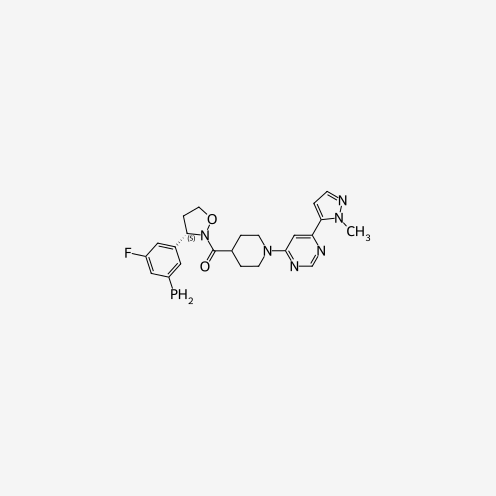 Cn1nccc1-c1cc(N2CCC(C(=O)N3OCC[C@H]3c3cc(F)cc(P)c3)CC2)ncn1